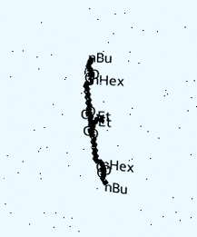 CCCCC#CCCOC(=O)OC(C/C=C\CCCCCCCCOC(=O)CCN(CCC(=O)OCCCCCCCC/C=C\CC(CCCCCC)OC(=O)OCCC#CCCCC)CCN(CC)CC)CCCCCC